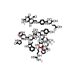 CCNC(=O)[C@@H]1CCCN1C(=O)[C@H](CCCNC(=N)N)NC(=O)[C@H](CC(C)C)NC(=O)[C@@H](CC(C)C)NC(=O)[C@H](Cc1ccc(O)cc1)NC(=O)[C@H](CO)NC(=O)[C@H](Cc1c[nH]c2ccccc12)NC(=O)[C@H](Cc1cnc[nH]1)NC(=O)[C@@H]1CCC(=O)N1.Nc1nc(=O)c2c([nH]1)NCC(CNc1ccc(C(=O)N[C@@H](CCC(=O)O)C(=O)O)cc1)N2C=O